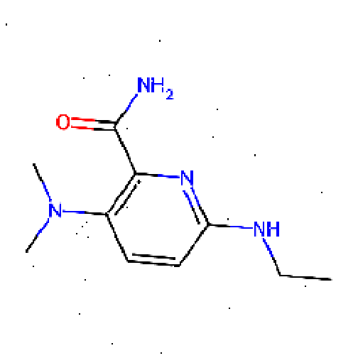 CCNc1ccc(N(C)C)c(C(N)=O)n1